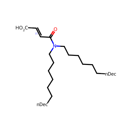 CCCCCCCCCCCCCCCCN(CCCCCCCCCCCCCCCC)C(=O)/C=C/C(=O)O